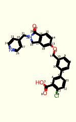 O=C(O)c1cc(-c2cccc(COc3ccc4c(c3)CN(Cc3ccncc3)C4=O)c2)ccc1Cl